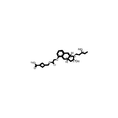 CC[C@H](O)CC[C@@H]1[C@H]2Cc3cccc(OCC(=O)OCC4CC(C(=O)O)C4)c3C[C@H]2C[C@H]1O